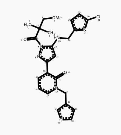 COCC(C)(C)C(=O)n1nc(-c2cccn(Cc3ccoc3)c2=O)cc1NCc1ccc(Cl)s1